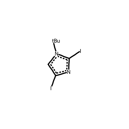 CC(C)(C)n1cc(I)nc1I